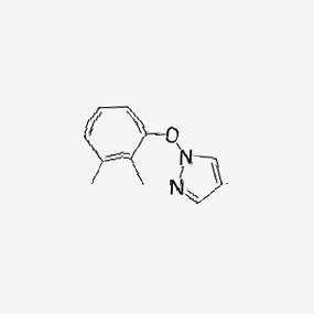 Cc1cccc(On2c[c]cn2)c1C